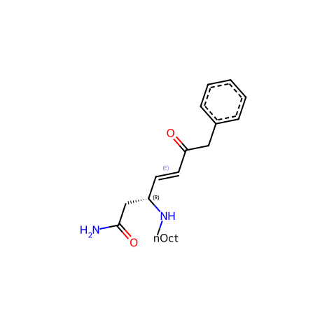 CCCCCCCCN[C@@H](/C=C/C(=O)Cc1ccccc1)CC(N)=O